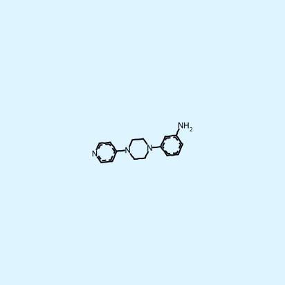 Nc1cccc(N2CCN(c3ccncc3)CC2)c1